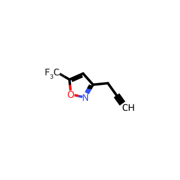 C#CCc1cc(C(F)(F)F)on1